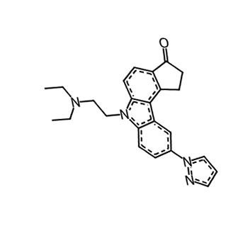 CCN(CC)CCn1c2ccc(-n3cccn3)cc2c2c3c(ccc21)C(=O)CC3